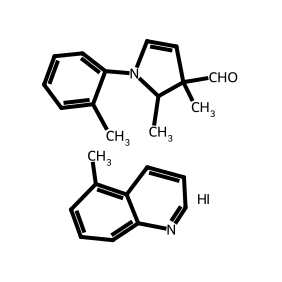 Cc1cccc2ncccc12.Cc1ccccc1N1C=CC(C)(C=O)C1C.I